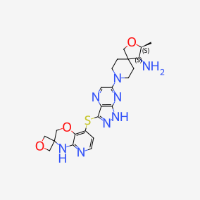 C[C@@H]1OCC2(CCN(c3cnc4c(Sc5ccnc6c5OCC5(COC5)N6)n[nH]c4n3)CC2)[C@@H]1N